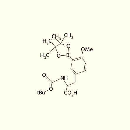 COc1ccc(CC(NC(=O)OC(C)(C)C)C(=O)O)cc1B1OC(C)(C)C(C)(C)O1